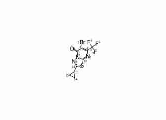 O=c1c(Br)c(C(F)(F)F)nc2sc(C3CC3)nn12